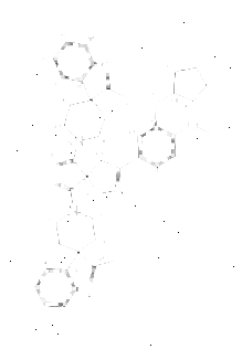 COc1ccc(C2=NOC(C(=O)N3CCC(C(C)=O)(c4ccccc4)CC3)(C(=O)N3CCC(C(C)=O)(c4ccccc4)CC3)C2)cc1OC1CCCC1